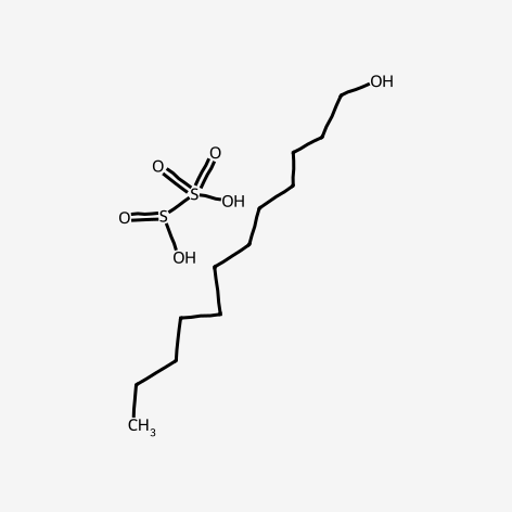 CCCCCCCCCCCCO.O=S(O)S(=O)(=O)O